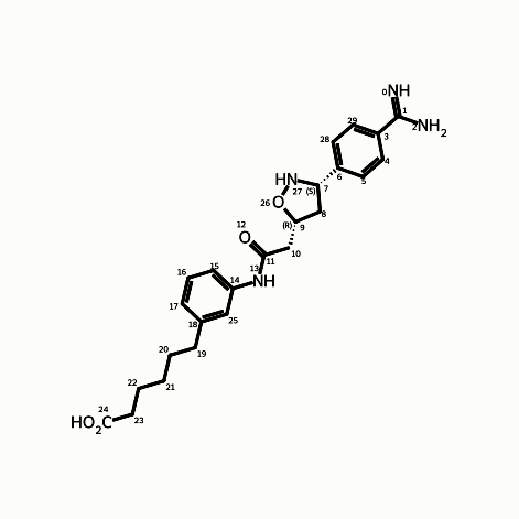 N=C(N)c1ccc([C@@H]2C[C@H](CC(=O)Nc3cccc(CCCCCC(=O)O)c3)ON2)cc1